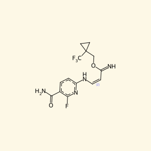 N=C(/C=C\Nc1ccc(C(N)=O)c(F)n1)OCC1(C(F)(F)F)CC1